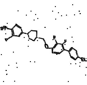 CCCc1ccc(C2CCC(COc3ccc(-c4ccc(CC)cc4)c(F)c3F)CC2)cc1F